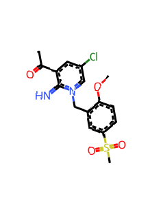 COc1ccc(S(C)(=O)=O)cc1Cn1cc(Cl)cc(C(C)=O)c1=N